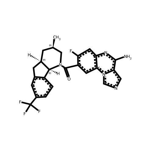 C[C@@H]1C[C@@H]2Cc3cc(C(F)(F)F)ccc3[C@@H]2N(C(=O)c2cc3c(cc2F)nc(N)c2cncn23)C1